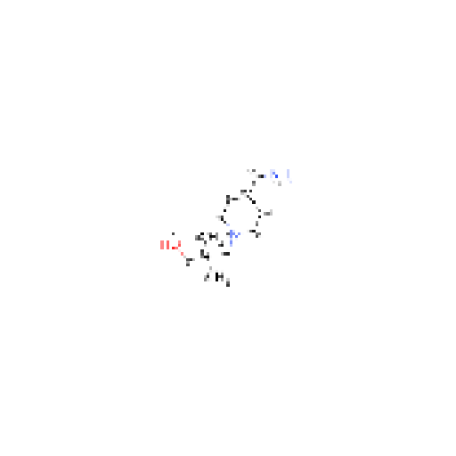 CC(C)(CO)CN1CCC(CN)CC1